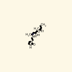 C=CCC(C)(CC)OCC(O)/C=C(/C)NCCN1CCNC1=O